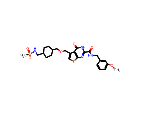 COc1cccc(CNC(=O)c2nc3scc(COCC4CCC(CNS(C)(=O)=O)CC4)c3c(=O)[nH]2)c1